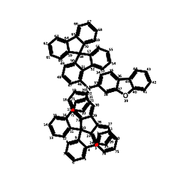 c1ccc(-c2ccccc2C2(c3ccccc3-c3ccccc3)c3ccccc3-c3cc(N(c4ccc5c(c4)oc4ccccc45)c4cccc5c4-c4ccccc4C54c5ccccc5-c5ccccc54)ccc32)cc1